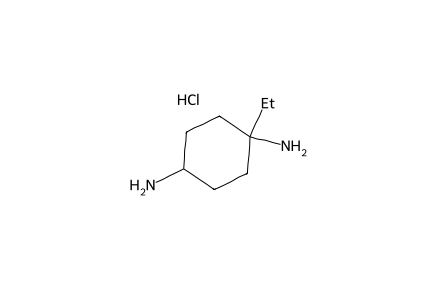 CCC1(N)CCC(N)CC1.Cl